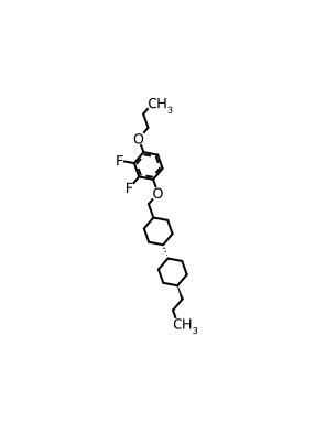 CCCOc1ccc(OCC2CCC([C@H]3CC[C@H](CCC)CC3)CC2)c(F)c1F